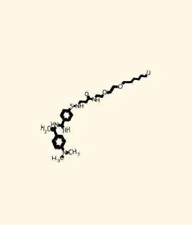 C=C(NC(=N)c1ccc(SNCCC(=O)NCCOCCOCCCCCCCl)cc1)c1ccc(N(C)C)cc1